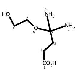 NC(N)(CCC(=O)O)OCCO